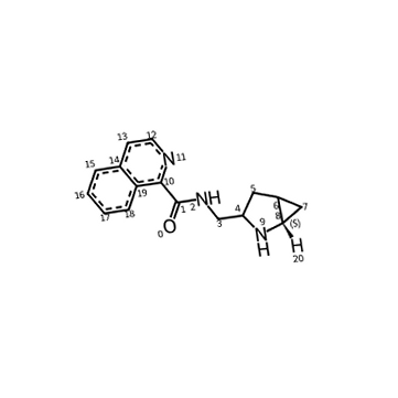 O=C(NCC1CC2C[C@@H]2N1)c1nccc2ccccc12